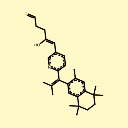 CC(C)=C(c1ccc(/C=C(\O)CCC=O)cn1)c1cc2c(cc1C)C(C)(C)CCC2(C)C